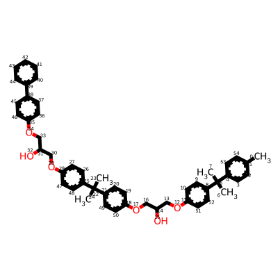 Cc1ccc(C(C)(C)c2ccc(OCC(O)COc3ccc(C(C)(C)c4ccc(OCC(O)COc5ccc(-c6ccccc6)cc5)cc4)cc3)cc2)cc1